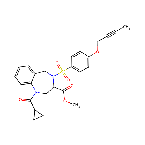 CC#CCOc1ccc(S(=O)(=O)N2Cc3ccccc3N(C(=O)C3CC3)CC2C(=O)OC)cc1